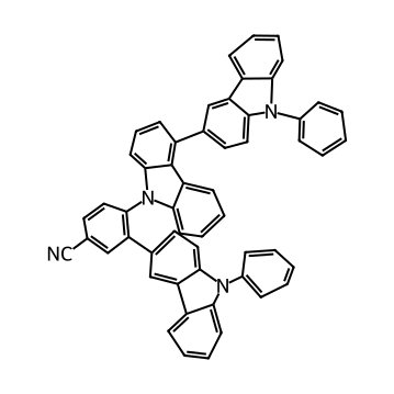 N#Cc1ccc(-n2c3ccccc3c3c(-c4ccc5c(c4)c4ccccc4n5-c4ccccc4)cccc32)c(-c2ccc3c(c2)c2ccccc2n3-c2ccccc2)c1